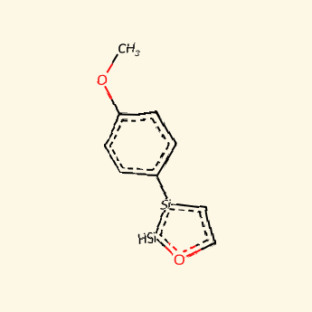 COc1ccc(-[si]2cco[siH]2)cc1